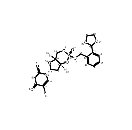 O=c1[nH]c(=O)n([C@H]2C[C@@H]3OP(=O)(OCc4ccccc4C4OCCO4)OC[C@H]3O2)cc1F